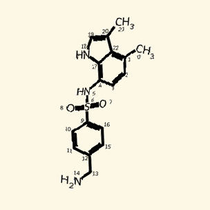 Cc1ccc(NS(=O)(=O)c2ccc(CN)cc2)c2[nH]cc(C)c12